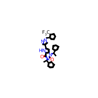 CC(c1ccccc1)n1c(=O)c2[nH]c(-c3cnn(Cc4ccccc4C(F)(F)F)c3)cc2n(C(C)c2ccccc2)c1=O